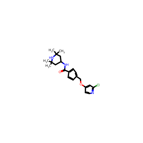 CC1(C)CC(NC(=O)c2ccc(COc3ccnc(Cl)c3)cc2)CC(C)(C)N1